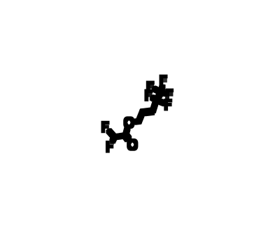 O=C(OC/C=C/C(F)(F)C(F)(F)F)C(F)F